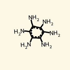 Nc1c(N)c(N)c(N)c(N)c1N